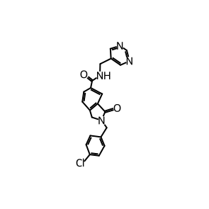 O=C(NCc1cncnc1)c1ccc2c(c1)C(=O)N(Cc1ccc(Cl)cc1)C2